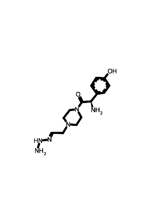 NNN=CCN1CCN(C(=O)[C@H](N)c2ccc(O)cc2)CC1